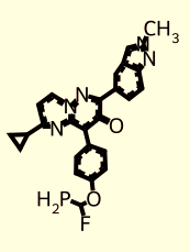 Cn1cc2cc(-c3nn4ccc(C5CC5)nc4c(-c4ccc(OC(F)P)cc4)c3=O)ccc2n1